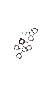 CC1(C)c2ccccc2-c2ccc(N(c3ccccc3)c3ccccc3-c3cccc(-c4ccccc4)c3-c3ccccc3-c3ccccc3)cc21